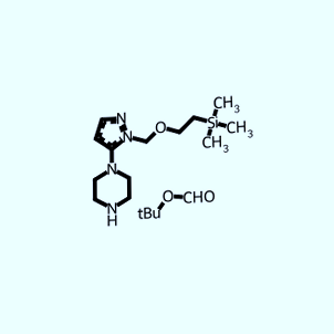 CC(C)(C)OC=O.C[Si](C)(C)CCOCn1nccc1N1CCNCC1